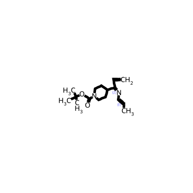 C=C/C(=N/C=C/C)C1CCN(C(=O)OC(C)(C)C)CC1